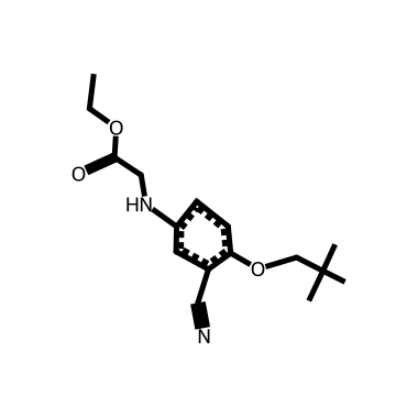 CCOC(=O)CNc1ccc(OCC(C)(C)C)c(C#N)c1